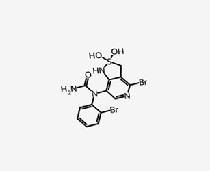 NC(=O)N(c1ccccc1Br)c1cnc(Br)c2c1NS(O)(O)C2